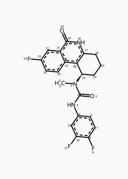 CN(C(=O)Nc1ccc(F)c(F)c1)[C@@H]1CCCc2[nH]c(=O)c3cc(F)ccc3c21